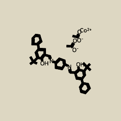 CC(=O)[O-].CC(=O)[O-].CC(C)(C)c1cc(-c2ccccc2)cc(C=Nc2ccc(N=Cc3cc(-c4ccccc4)cc(C(C)(C)C)c3O)cc2)c1O.[Co+2]